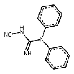 N#CNC(=N)N(c1ccccc1)c1ccccc1